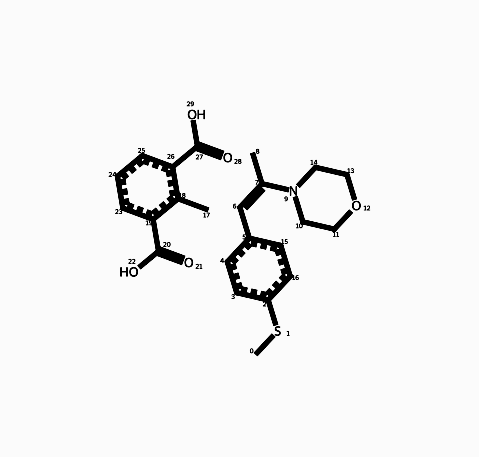 CSc1ccc(C=C(C)N2CCOCC2)cc1.Cc1c(C(=O)O)cccc1C(=O)O